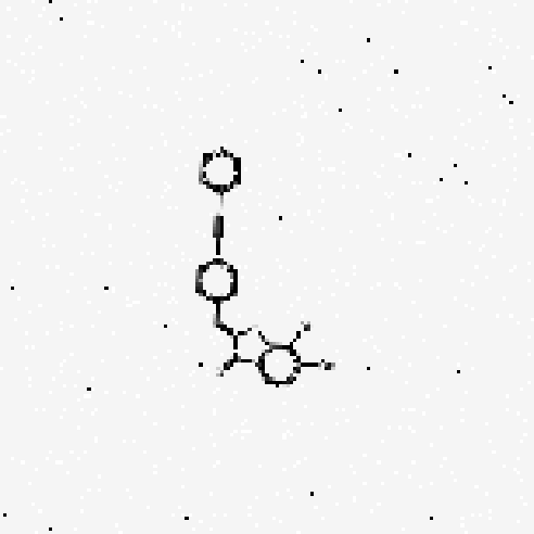 O=C1/C(=C/c2ccc(C#Cc3ccccc3)cc2)Oc2c1ccc(O)c2O